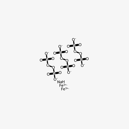 O=S(=O)([O-])OOS(=O)(=O)[O-].O=S(=O)([O-])OOS(=O)(=O)[O-].O=S(=O)([O-])OOS(=O)(=O)[O-].[Fe+3].[Fe+3].[NaH]